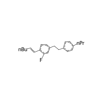 CCCCC=Cc1ccc(CCc2ccc(CCC)cc2)cc1F